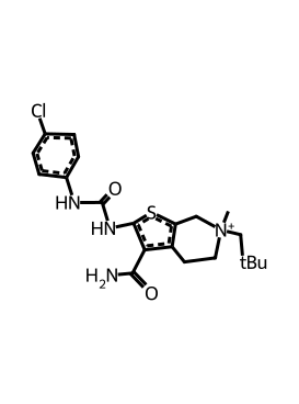 CC(C)(C)C[N+]1(C)CCc2c(sc(NC(=O)Nc3ccc(Cl)cc3)c2C(N)=O)C1